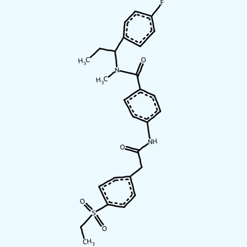 CCC(c1ccc(F)cc1)N(C)C(=O)c1ccc(NC(=O)Cc2ccc(S(=O)(=O)CC)cc2)cc1